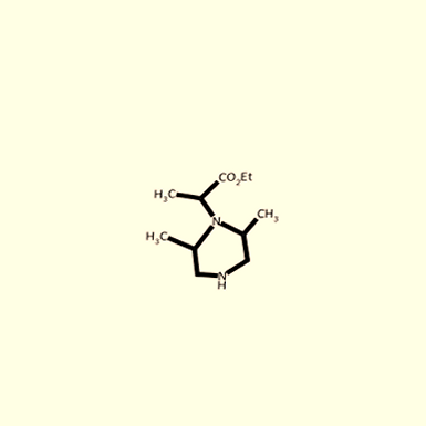 CCOC(=O)C(C)N1C(C)CNCC1C